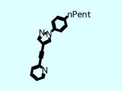 CCCCCc1ccc(-n2cc(C#Cc3ccccn3)cn2)cc1